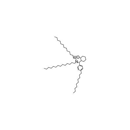 CCCCCCCCCCCCCCN(CCCCCCCCCCCCCC)C(c1ccc(CCCCCCCCCC)cc1)C1CCCCC1O